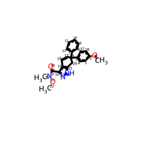 COc1ccc(C2(c3ccccc3)C=Cc3c(C(=O)N(C)OC)n[nH]c3C2)cc1